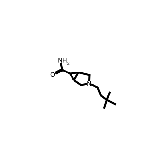 CC(C)(C)CCN1CC2C(C1)C2C(N)=O